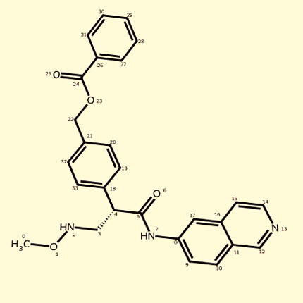 CONC[C@@H](C(=O)Nc1ccc2cnccc2c1)c1ccc(COC(=O)c2ccccc2)cc1